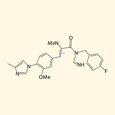 CN/C(=C\c1ccc(-n2cnc(C)c2)c(OC)c1)C(=O)N(C=N)Cc1ccc(F)cc1